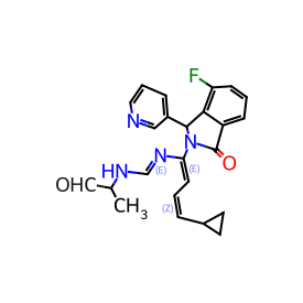 CC(C=O)N/C=N/C(=C\C=C/C1CC1)N1C(=O)c2cccc(F)c2C1c1cccnc1